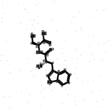 N[C@@H](Cc1c[nH]c2ccccc12)C(=O)N[C@@H](CO)C(=O)O